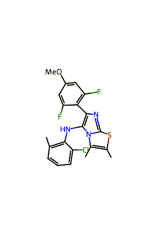 COc1cc(F)c(-c2nc3sc(C)c(C)n3c2Nc2c(C)cccc2Cl)c(F)c1